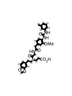 COc1cc(CC(=O)NCC(=O)N(CCC(=O)O)CCc2ccc3c(c2)OCO3)ccc1NC(=O)Nc1cccc(C)c1